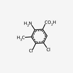 Cc1c(N)c(C(=O)O)cc(Cl)c1Cl